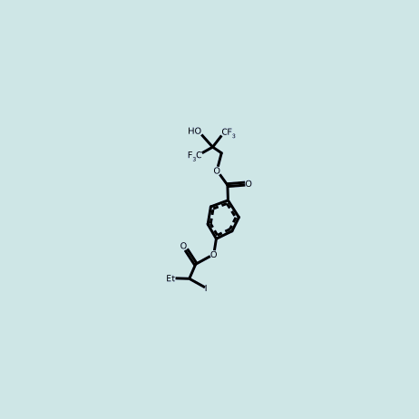 CCC(I)C(=O)Oc1ccc(C(=O)OCC(O)(C(F)(F)F)C(F)(F)F)cc1